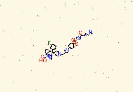 CN(C)C/C=C/C(=O)N1CC(S(=O)(=O)c2ccc(N3CC(CN4CCC([C@](C#N)(c5cccc(F)c5)[C@H]5CCC[C@@H]5NC(=O)O)CC4)C3)cc2)C1